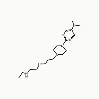 CCNCCOCCCN1CCN(c2ncc(C(C)C)cn2)CC1